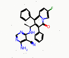 C[C@H](Nc1ncnc(N)c1C#N)c1c(-c2ccccc2)c(=O)n2cc(F)ccc2c1-c1ccccc1